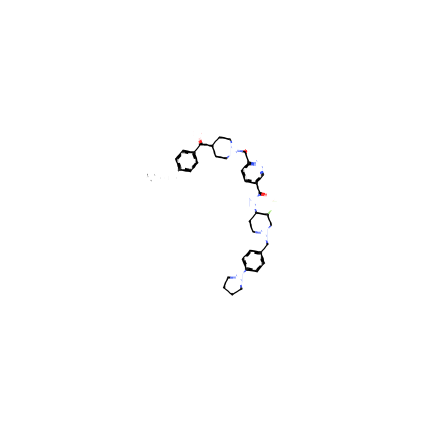 COc1ccc(C(=O)C2CCN(C(=O)c3ccc(C(=O)NC4CCN(Cc5ccc(N6CCCC6)cc5)CC4F)cn3)CC2)cc1